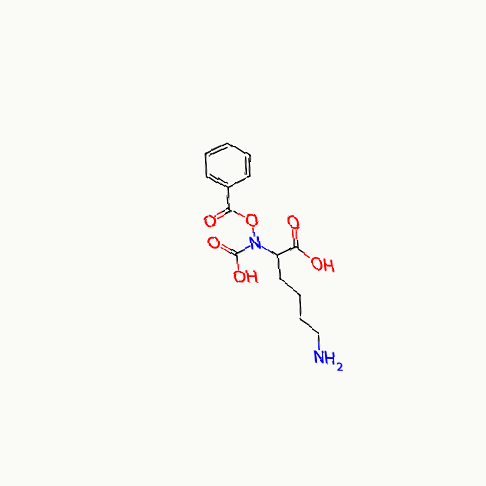 NCCCCC(C(=O)O)N(OC(=O)c1ccccc1)C(=O)O